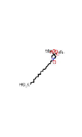 CC(C)(C)OC(=O)C1(C(=O)OC(C)(C)C)CCN(C(=O)CCCCCCCCCCCCCCCCCCC(=O)O)CC1